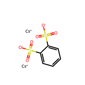 O=S(=O)([O-])c1ccccc1S(=O)(=O)[O-].[Cs+].[Cs+]